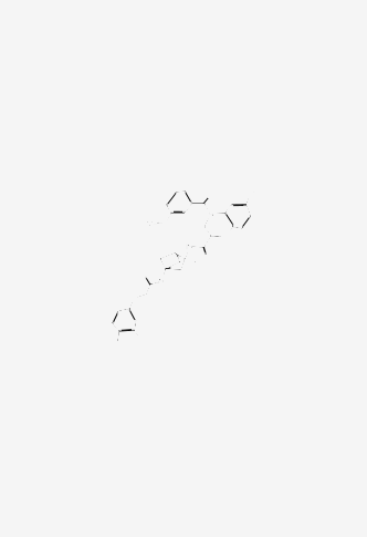 COc1cccc(C(=O)N2CC(C(=O)N[C@H]3CC4(NC(=O)COc5ccc(Cl)c(F)c5)CC3C4)Oc3ccc(Cl)cc32)c1